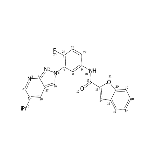 CC(C)c1cnc2nn(-c3cc(NC(=O)c4cc5ccccc5o4)ccc3F)cc2c1